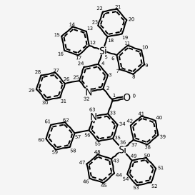 O=C(c1cc([Si](c2ccccc2)(c2ccccc2)c2ccccc2)cc(-c2ccccc2)n1)c1cc([Si](c2ccccc2)(c2ccccc2)c2ccccc2)cc(-c2ccccc2)n1